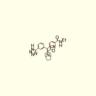 CCNC(=O)c1ccc(C(=C2CC3CCC(C2)N3Cc2ccco2)c2cccc(-c3nnn[nH]3)c2)cc1